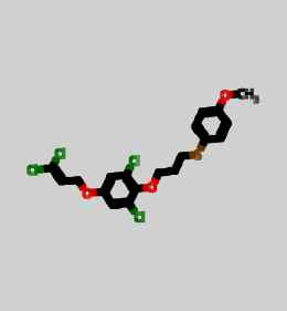 COc1ccc(SCCCOc2c(Cl)cc(OCC=C(Cl)Cl)cc2Cl)cc1